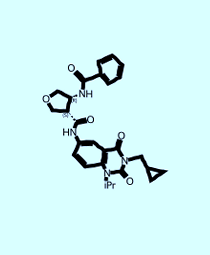 CC(C)n1c(=O)n(CC2CC2)c(=O)c2cc(NC(=O)[C@@H]3COC[C@@H]3NC(=O)c3ccccc3)ccc21